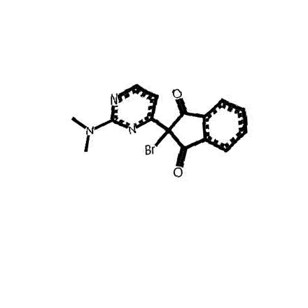 CN(C)c1nccc(C2(Br)C(=O)c3ccccc3C2=O)n1